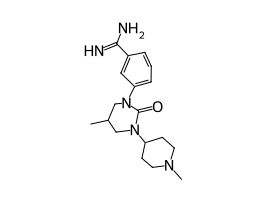 CC1CN(c2cccc(C(=N)N)c2)C(=O)N(C2CCN(C)CC2)C1